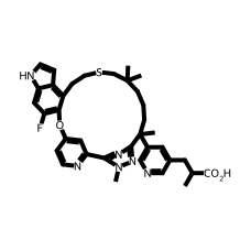 CC(Cc1cncc(C2(C)CCCC(C)(C)CSCCc3c(c(F)cc4[nH]ccc34)Oc3ccnc(c3)-c3nc2nn3C)c1)C(=O)O